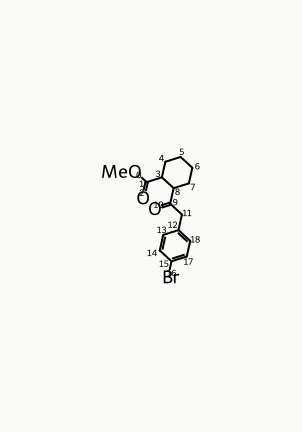 COC(=O)C1CCCCC1C(=O)Cc1ccc(Br)cc1